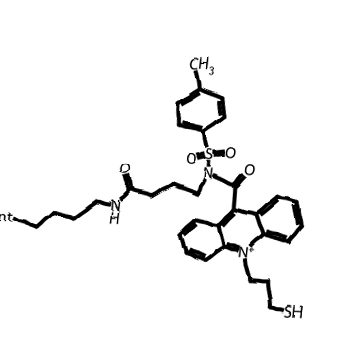 CCCC(C)CCCCNC(=O)CCCN(C(=O)c1c2ccccc2[n+](CCCS)c2ccccc12)S(=O)(=O)c1ccc(C)cc1